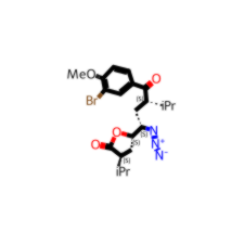 COc1ccc(C(=O)[C@@H](C[C@H](N=[N+]=[N-])[C@@H]2C[C@@H](C(C)C)C(=O)O2)C(C)C)cc1Br